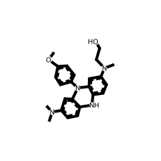 COc1ccc(N2c3cc(N(C)C)ccc3Nc3ccc(N(C)CCO)cc32)cc1